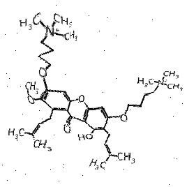 COc1c(OCCCC[N+](C)(C)C)cc2oc3cc(OCCCC[N+](C)(C)C)c(CC=C(C)C)c(O)c3c(=O)c2c1CC=C(C)C